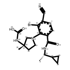 C[C@H](NC(=O)c1cnc(C#N)c(Br)c1N1CC[C@](C)(NC(=O)O)C1)C1CC1